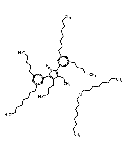 CCCCCCCCc1cc(CCCCC)cc(C2=C(CC)C(CCCC)=C(c3cc(CCCCC)cc(CCCCCCCC)c3)[N+]2=[N-])c1.CCCCCCC[CH2][Ni][CH2]CCCCCCC